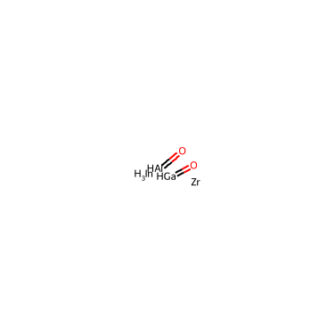 [InH3].[O]=[AlH].[O]=[GaH].[Zr]